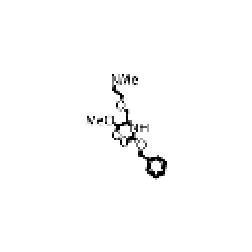 CNCCOC[C@@H](NC(=O)OCc1ccccc1)C(=O)OC